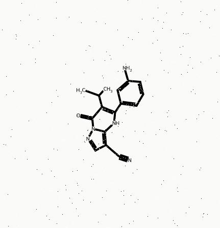 CC(C)c1c(-c2cccc(N)c2)[nH]c2c(C#N)cnn2c1=O